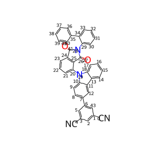 N#Cc1cc(C#N)cc(-c2ccc3c(c2)c2ccccc2n3-c2cccc3c2C(=O)N(c2ccccc2-c2ccccc2)C3=O)c1